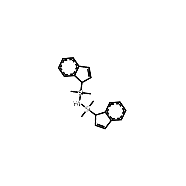 C[Si](C)([Hf][Si](C)(C)C1C=Cc2ccccc21)C1C=Cc2ccccc21